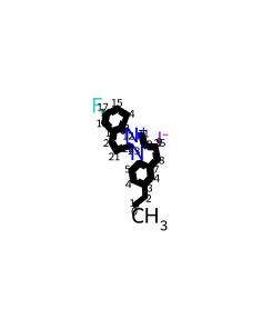 CCCc1ccc2c(ccc3c[n+]4c5ccc(F)cc5ccc4n32)c1.[I-]